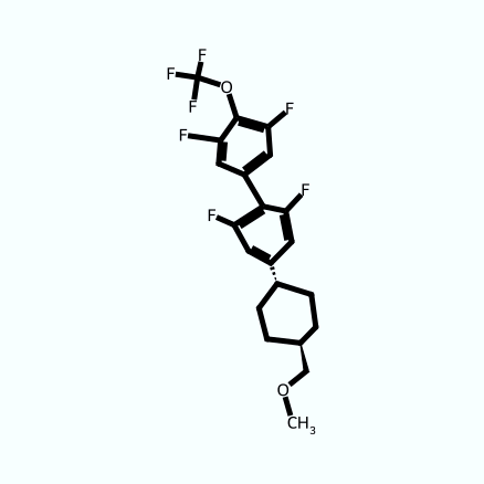 COC[C@H]1CC[C@H](c2cc(F)c(-c3cc(F)c(OC(F)(F)F)c(F)c3)c(F)c2)CC1